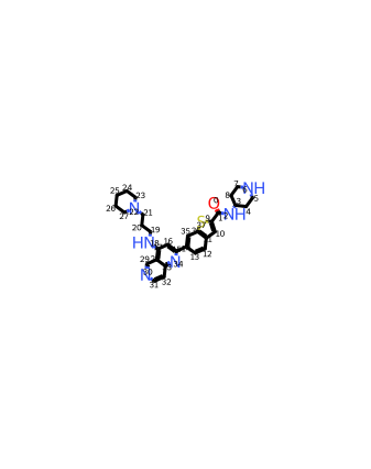 O=C(NC1CCNCC1)c1cc2ccc(-c3cc(NCCCN4CCCCC4)c4cnccc4n3)cc2s1